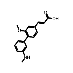 CNc1cccc(-c2ccc(C=CC(=O)O)cc2OC)c1